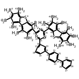 Bc1c(B)c(B)c2c(sc3c(B)c(-c4nc(-c5cccc(-c6ccc(-c7ccccc7)cc6)c5)nc(-c5c(B)c(B)c(B)c6c5sc5c(B)c(B)c(B)c(B)c56)n4)c(B)c(B)c32)c1B